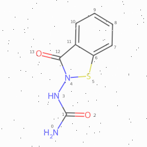 NC(=O)Nn1sc2ccccc2c1=O